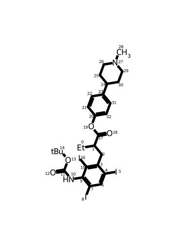 CCC(Cc1c(I)cc(I)c(NC(=O)OC(C)(C)C)c1I)C(=O)Oc1ccc(C2CCN(C)CC2)cc1